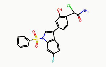 NC(=O)C(Cl)c1ccc(-c2cn(S(=O)(=O)c3ccccc3)c3cc(F)ccc23)cc1O